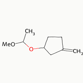 C=C1CCC(OC(C)OC)C1